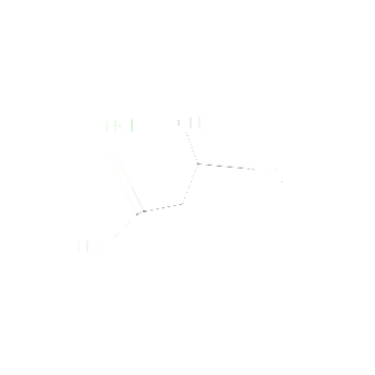 CC(=S)CC(C)C(=O)O.Cl